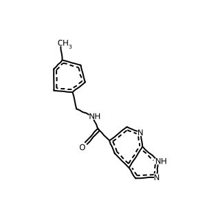 Cc1ccc(CNC(=O)c2cnc3[nH]ncc3c2)cc1